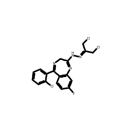 Fc1ccc2c(c1)N=C(NN=C(CCl)CCl)CN=C2c1ccccc1Cl